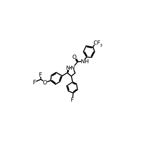 O=C(Nc1ccc(C(F)(F)F)cc1)N1CC(c2ccc(F)cc2)C(c2ccc(OC(F)F)cc2)=N1